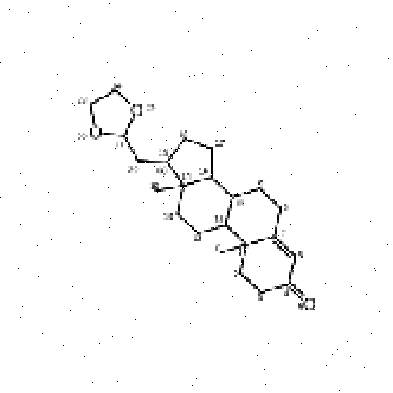 CC12CCC(=O)C=C1CCC1C2CCC2(C)C1CC[C@@H]2CC1OCCO1